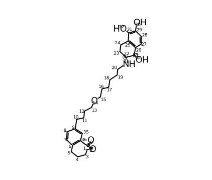 O=S1(=O)CCCc2ccc(CCCCOCCCCCCN[C@@H]3CCc4c(ccc(O)c4O)[C@H]3O)cc21